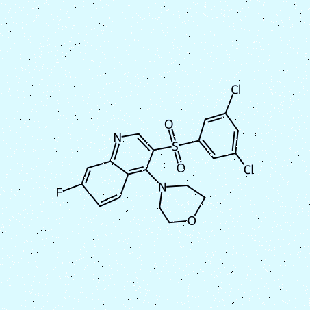 O=S(=O)(c1cc(Cl)cc(Cl)c1)c1cnc2cc(F)ccc2c1N1CCOCC1